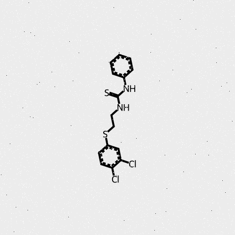 S=C(NCCSc1ccc(Cl)c(Cl)c1)Nc1cc[c]cc1